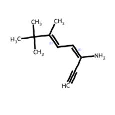 C#C/C(N)=C\C=C(/C)C(C)(C)C